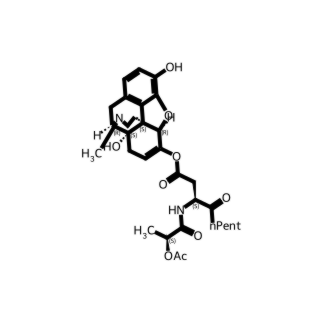 CCCCCC(=O)[C@H](CC(=O)OC1=CC[C@@]2(O)[C@H]3Cc4ccc(O)c5c4[C@@]2(CCN3C)[C@H]1O5)NC(=O)[C@H](C)OC(C)=O